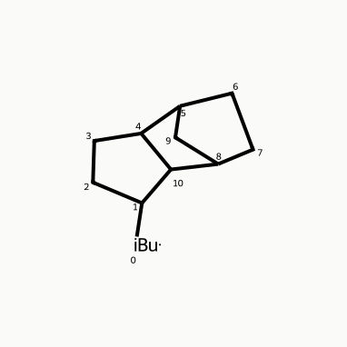 CC[C](C)C1CCC2C3CCC(C3)C12